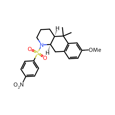 COc1ccc2c(c1)C(C)(C)[C@@H]1CCCN(S(=O)(=O)c3ccc([N+](=O)[O-])cc3)[C@@H]1C2